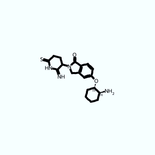 N=C1NC(=S)CCC1N1Cc2cc(O[C@H]3CCCC[C@@H]3N)ccc2C1=O